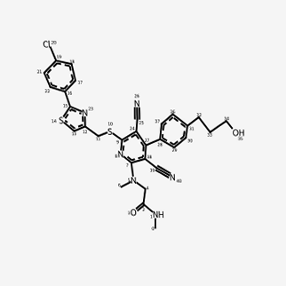 CNC(=O)CN(C)c1nc(SCc2csc(-c3ccc(Cl)cc3)n2)c(C#N)c(-c2ccc(CCCO)cc2)c1C#N